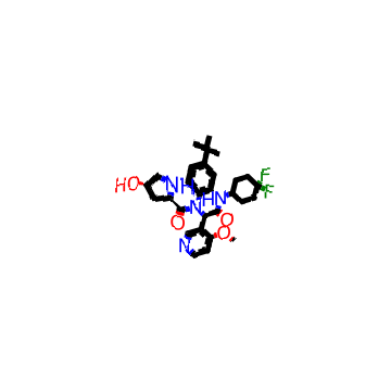 COc1ccncc1C(C(=O)NC1CCC(F)(F)CC1)N(C(=O)[C@H]1C[C@@H](O)CN1)c1ccc(C(C)(C)C)cc1